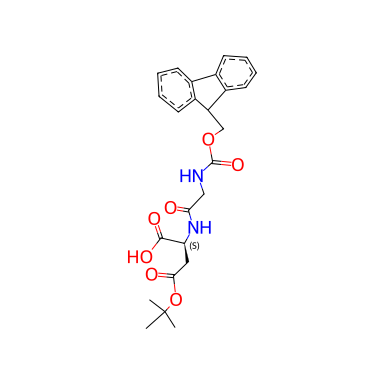 CC(C)(C)OC(=O)C[C@H](NC(=O)CNC(=O)OCC1c2ccccc2-c2ccccc21)C(=O)O